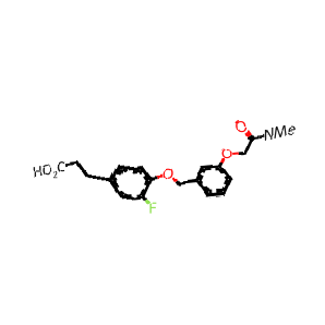 CNC(=O)COc1cccc(COc2ccc(CCC(=O)O)cc2F)c1